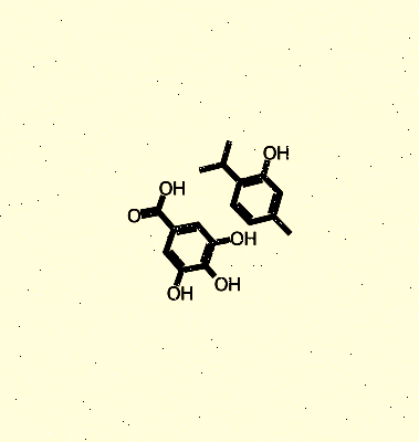 Cc1ccc(C(C)C)c(O)c1.O=C(O)c1cc(O)c(O)c(O)c1